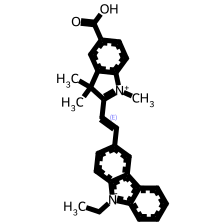 CCn1c2ccccc2c2cc(/C=C/C3=[N+](C)c4ccc(C(=O)O)cc4C3(C)C)ccc21